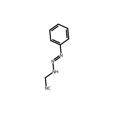 [C-]#[N+]CNN=Nc1ccccc1